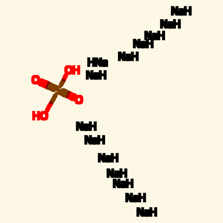 O=S(=O)(O)O.[NaH].[NaH].[NaH].[NaH].[NaH].[NaH].[NaH].[NaH].[NaH].[NaH].[NaH].[NaH].[NaH].[NaH]